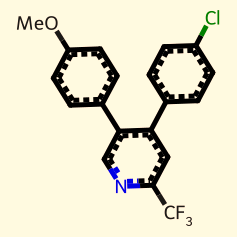 COc1ccc(-c2cnc(C(F)(F)F)cc2-c2ccc(Cl)cc2)cc1